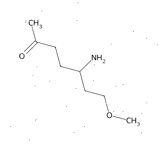 COCCC(N)CCC(C)=O